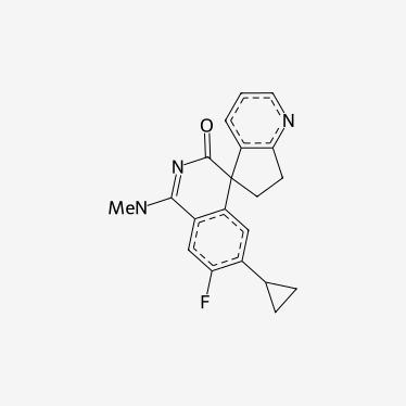 CNC1=NC(=O)C2(CCc3ncccc32)c2cc(C3CC3)c(F)cc21